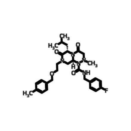 Cc1ccc(COCCN2C[C@H]3N(C(=O)CN(C)N3C(=O)NCc3ccc(F)cc3)[C@@H](CC(C)C)C2=O)cc1